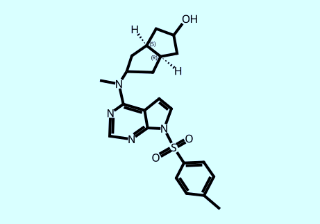 Cc1ccc(S(=O)(=O)n2ccc3c(N(C)C4C[C@H]5CC(O)C[C@H]5C4)ncnc32)cc1